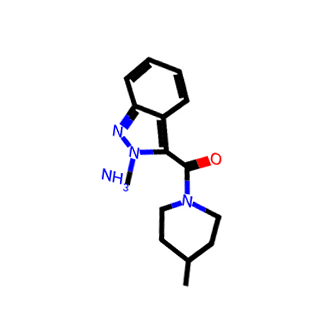 CC1CCN(C(=O)c2c3ccccc3nn2C)CC1.N